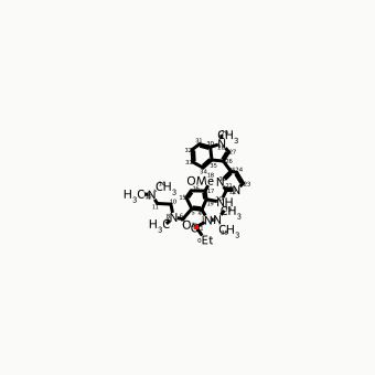 CCC(=O)N(c1c(C(=O)N(C)CCN(C)C)ccc(OC)c1Nc1nccc(-c2cn(C)c3ccccc23)n1)N(C)C